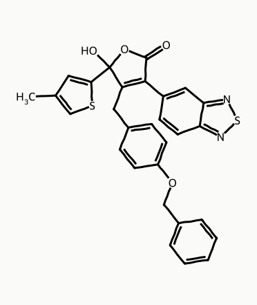 Cc1csc(C2(O)OC(=O)C(c3ccc4nsnc4c3)=C2Cc2ccc(OCc3ccccc3)cc2)c1